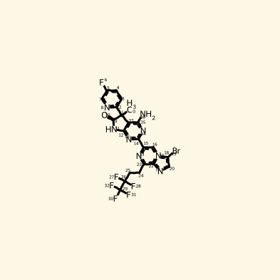 CC1(c2ccc(F)cn2)C(=O)Nc2nc(-c3cn4c(Br)cnc4c(CCC(F)(F)C(F)(F)F)n3)nc(N)c21